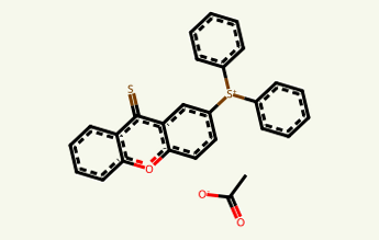 CC(=O)[O-].S=c1c2ccccc2oc2ccc([S+](c3ccccc3)c3ccccc3)cc12